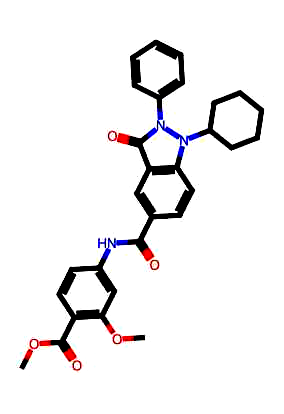 COC(=O)c1ccc(NC(=O)c2ccc3c(c2)c(=O)n(-c2ccccc2)n3C2CCCCC2)cc1OC